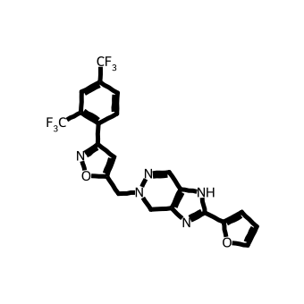 FC(F)(F)c1ccc(-c2cc(CN3Cc4nc(-c5ccco5)[nH]c4C=N3)on2)c(C(F)(F)F)c1